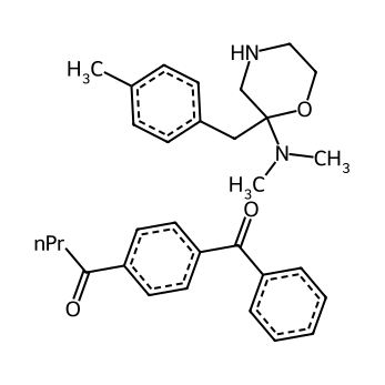 CCCC(=O)c1ccc(C(=O)c2ccccc2)cc1.Cc1ccc(CC2(N(C)C)CNCCO2)cc1